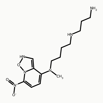 CN(CCCCNCCCN)C1=CC=C([N+](=O)[O-])N2ONC=C12